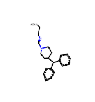 CCCCCCCCCCCC/N=C/N1CCC(C(c2ccccc2)c2ccccc2)CC1